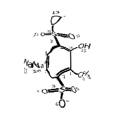 Cc1c(S(=O)(=O)[O-])ccc(S(=O)(=O)[O-])c1O.[Na+].[Na+]